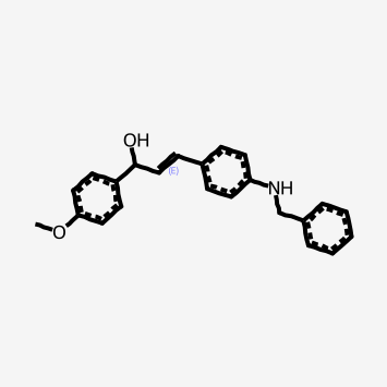 COc1ccc(C(O)/C=C/c2ccc(NCc3ccccc3)cc2)cc1